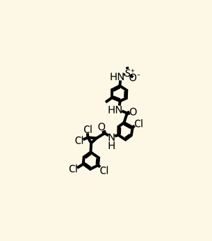 Cc1cc(N[S+](C)[O-])ccc1NC(=O)c1cc(NC(=O)C2C(c3cc(Cl)cc(Cl)c3)C2(Cl)Cl)ccc1Cl